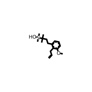 C=CCc1c(CCC(C)(C)[Si](C)(C)O)cccc1OC